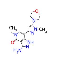 CCn1cc(-c2cc(N3CCOCC3)n(C)n2)c2[nH]nc(N)c2c1=O